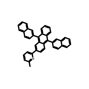 Cc1cccc(-c2ccc3c(-c4ccc5ccccc5c4)c4ccccc4c(-c4ccc5ccccc5c4)c3c2)n1